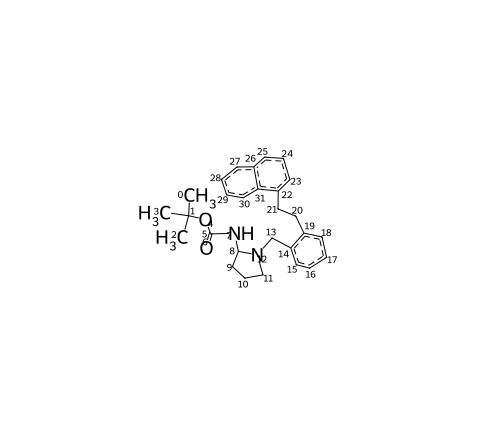 CC(C)(C)OC(=O)NC1CCCN1Cc1ccccc1CCc1cccc2ccccc12